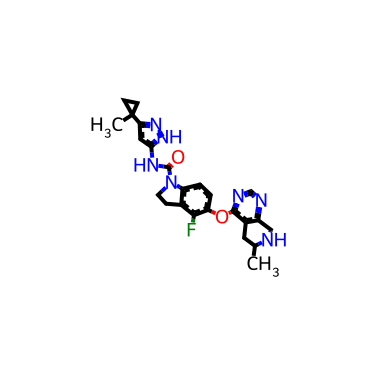 CC1Cc2c(ncnc2Oc2ccc3c(c2F)CCN3C(=O)Nc2cc(C3(C)CC3)n[nH]2)CN1